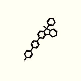 CC1(C2=CCCC=C2)c2ccc(-c3ccc(C4=CCC(I)C=C4)cc3)cc2C2CCC=CC21